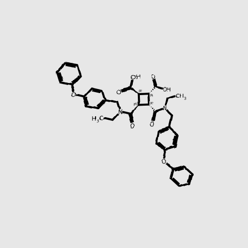 CCN(Cc1ccc(Oc2ccccc2)cc1)C(=O)[C@H]1[C@@H](C(=O)O)[C@H](C(=O)O)[C@@H]1C(=O)N(CC)Cc1ccc(Oc2ccccc2)cc1